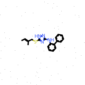 C/C=C(\C)CSc1nc(Nc2ccccc2-c2ccccc2)n[nH]1